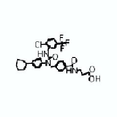 O=C(O)CCNC(=O)c1ccc(CN(C(=O)Nc2cc(C(F)(F)F)ccc2Cl)c2ccc(C3CCCCC3)cc2)cc1